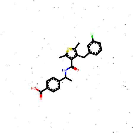 Cc1sc(C)c(C(=O)NC(C)c2ccc(C(=O)O)cc2)c1Cc1cccc(Cl)c1